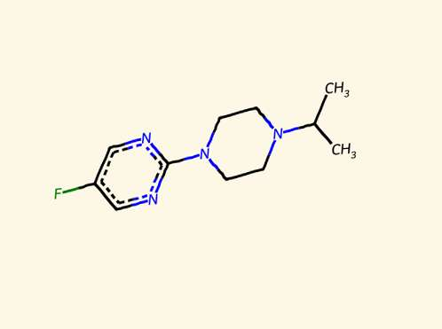 CC(C)N1CCN(c2ncc(F)cn2)CC1